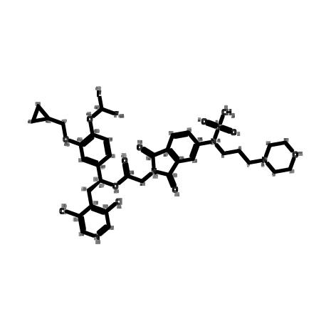 CS(=O)(=O)N(CCCN1CCOCC1)c1ccc2c(c1)C(=O)N(CC(=O)O[C@@H](Cc1c(Cl)cncc1Cl)c1ccc(OC(F)F)c(OCC3CC3)c1)C2=O